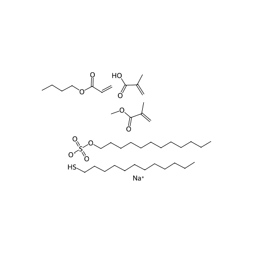 C=C(C)C(=O)O.C=C(C)C(=O)OC.C=CC(=O)OCCCC.CCCCCCCCCCCCOS(=O)(=O)[O-].CCCCCCCCCCCCS.[Na+]